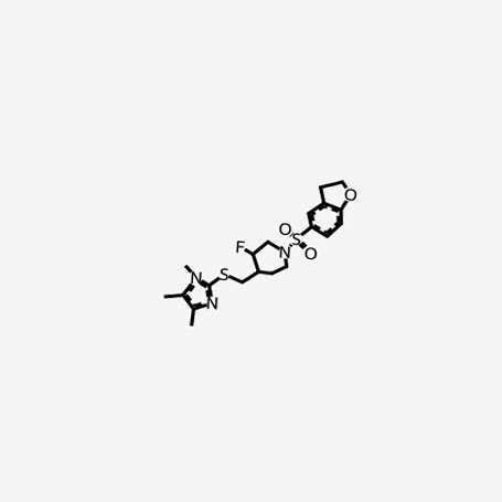 Cc1nc(SCC2CCN(S(=O)(=O)c3ccc4c(c3)CCO4)CC2F)n(C)c1C